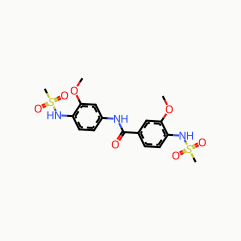 COc1cc(NC(=O)c2ccc(NS(C)(=O)=O)c(OC)c2)ccc1NS(C)(=O)=O